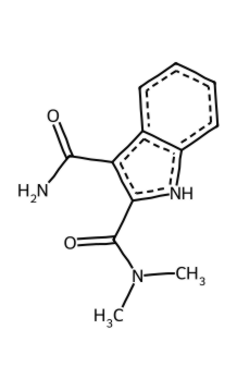 CN(C)C(=O)c1[nH]c2ccccc2c1C(N)=O